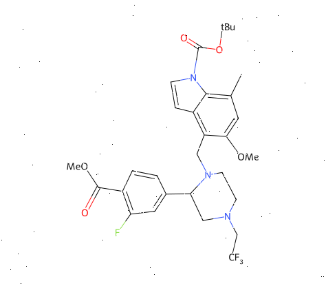 COC(=O)c1ccc(C2CN(CC(F)(F)F)CCN2Cc2c(OC)cc(C)c3c2ccn3C(=O)OC(C)(C)C)cc1F